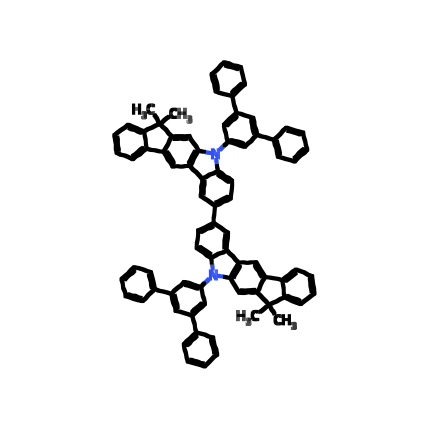 CC1(C)c2ccccc2-c2cc3c4cc(-c5ccc6c(c5)c5cc7c(cc5n6-c5cc(-c6ccccc6)cc(-c6ccccc6)c5)C(C)(C)c5ccccc5-7)ccc4n(-c4cc(-c5ccccc5)cc(-c5ccccc5)c4)c3cc21